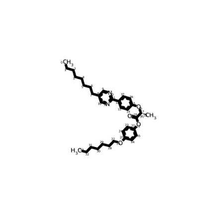 CCCCCCCCc1cnc(-c2ccc(O[C@H](C)C(=O)Oc3ccc(OCCCCCCC)cc3)cc2)nc1